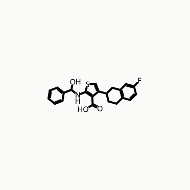 O=C(O)c1c(C2CCc3ccc(F)cc3C2)csc1NC(O)c1ccccc1